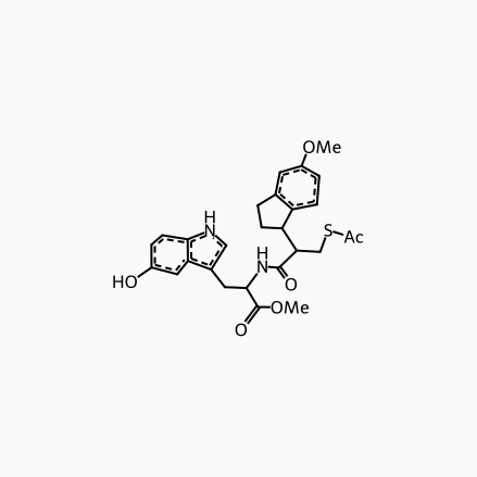 COC(=O)C(Cc1c[nH]c2ccc(O)cc12)NC(=O)C(CSC(C)=O)C1CCc2cc(OC)ccc21